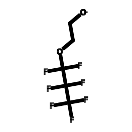 [O]CCOC(F)(F)C(F)(F)C(F)(F)F